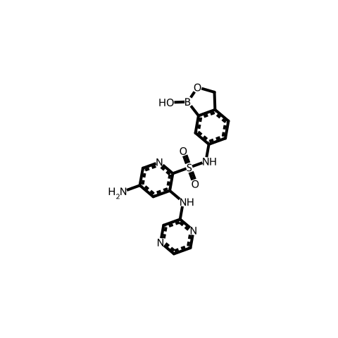 Nc1cnc(S(=O)(=O)Nc2ccc3c(c2)B(O)OC3)c(Nc2cnccn2)c1